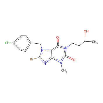 CC(O)CCn1c(=O)c2c(nc(Br)n2Cc2ccc(Cl)cc2)n(C)c1=O